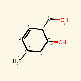 B[C@@H]1C=C[C@H](CO)[C@@H](O)C1